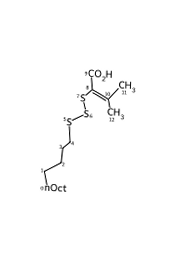 CCCCCCCCCCCCSSSC(C(=O)O)=C(C)C